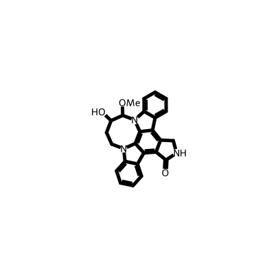 COC1C(O)CCn2c3ccccc3c3c4c(c5c6ccccc6n1c5c32)CNC4=O